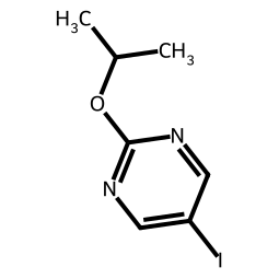 CC(C)Oc1ncc(I)cn1